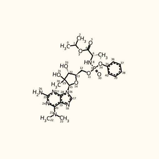 CC(C)OC(=O)[C@H](C)N[P@](=O)(OC[C@H]1O[C@@H](n2cnc3c(N(C)C)nc(N)nc32)[C@](C)(O)[C@@H]1O)Oc1ccccc1